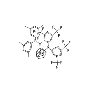 Cc1cc(C)cc(P(c2cc(C)cc(C)c2)C(C)[C@@]23[CH]4[CH]5[CH]6[C]2(P(c2cc(C(F)(F)F)cc(C(F)(F)F)c2)c2cc(C(F)(F)F)cc(C(F)(F)F)c2)[Fe]56432789[CH]3[CH]2[CH]7[CH]8[CH]39)c1